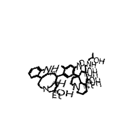 CCC1(O)C[C@H]2CN(CCc3c([nH]c4ccccc34)[C@H](C)C2c2cc3c(cc2C)N(C)C2C34CCN3CC=C[C@](CC)(C34)[C@@H](O)[C@]2(O)C(=O)NCC(C)O)C1